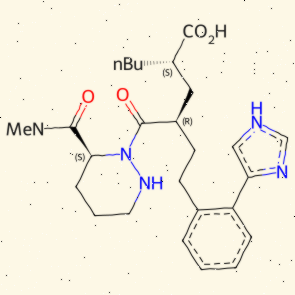 CCCC[C@@H](C[C@@H](CCc1ccccc1-c1c[nH]cn1)C(=O)N1NCCC[C@H]1C(=O)NC)C(=O)O